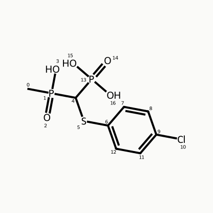 CP(=O)(O)C(Sc1ccc(Cl)cc1)P(=O)(O)O